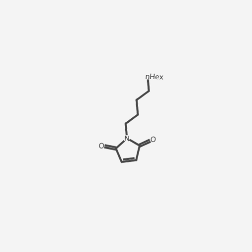 CCCCCCCCCCN1C(=O)C=CC1=O